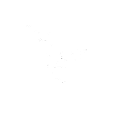 CC[C@H](c1ccc(C(=O)NCCC(=O)O)cc1)N1C(=O)C(c2ccc(C(F)(F)F)cc2)=NC12CCCC(C)C2